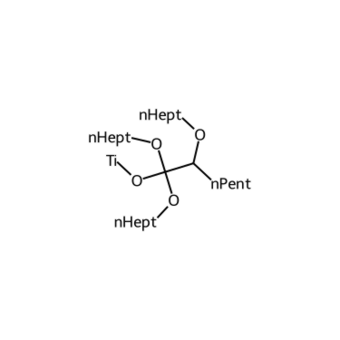 CCCCCCCOC(CCCCC)C([O][Ti])(OCCCCCCC)OCCCCCCC